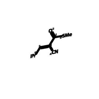 CSC(=O)/C(C#N)=C/C(C)C